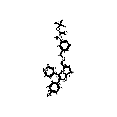 CC(C)(C)OC(=O)Nc1cccc(COCC2CCc3nc(-c4ccc(F)cc4)c(-c4ccncc4)n32)c1